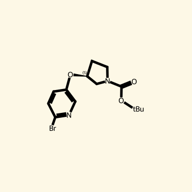 CC(C)(C)OC(=O)N1CC[C@H](Oc2ccc(Br)nc2)C1